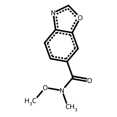 CON(C)C(=O)c1ccc2ncoc2c1